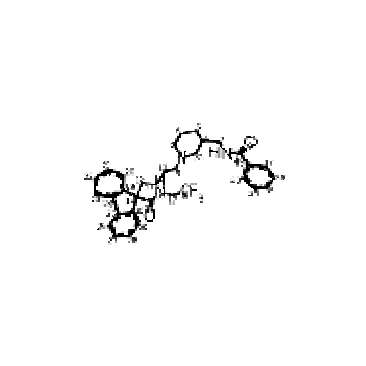 O=C(NCC1CCCN(CCCCC2(C(=O)NCC(F)(F)F)c3ccccc3-c3ccccc32)C1)c1ccccc1